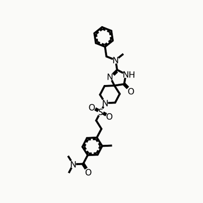 Cc1cc(C(=O)N(C)C)ccc1CCS(=O)(=O)N1CCC2(CC1)N=C(N(C)Cc1ccccc1)NC2=O